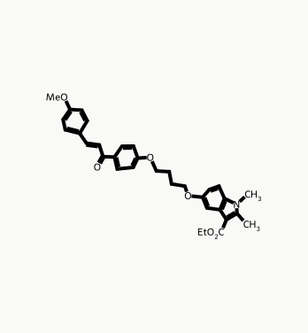 CCOC(=O)c1c(C)n(C)c2ccc(OCCCCOc3ccc(C(=O)C=Cc4ccc(OC)cc4)cc3)cc12